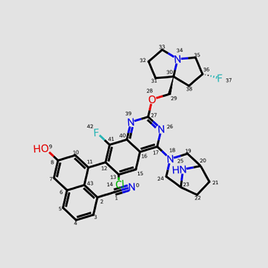 N#Cc1cccc2cc(O)cc(-c3c(Cl)cc4c(N5CC6CCC(C5)N6)nc(OC[C@@]56CCCN5C[C@H](F)C6)nc4c3F)c12